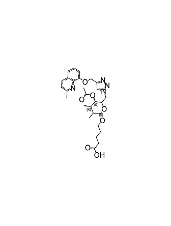 CC(=O)O[C@H]1C(Cn2cc(COc3cccc4ccc(C)nc34)nn2)O[C@H](OCCCCC(=O)O)C(C)[C@H]1C